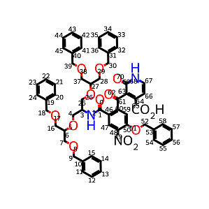 O=C(NC(COC(COCc1ccccc1)COCc1ccccc1)COC(COCc1ccccc1)COCc1ccccc1)c1cc([N+](=O)[O-])c(OCc2ccccc2)cc1C(=O)c1c(C(=O)O)cc[nH]c1=O